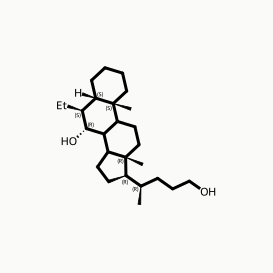 CC[C@@H]1[C@@H](O)C2C3CC[C@H]([C@H](C)CCCO)[C@@]3(C)CCC2[C@@]2(C)CCCC[C@@H]12